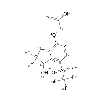 O=C(O)COc1ccc(S(=O)(=O)C(F)(F)F)c2c1CC(F)(F)C2O